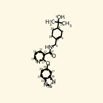 CC(C)(O)C1CC=C(CNC(=O)c2cccnc2Oc2ccc3nsnc3c2)CC1